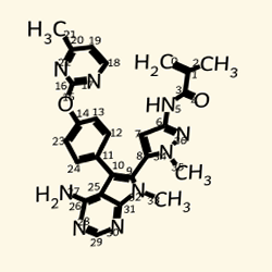 C=C(C)C(=O)Nc1cc(-c2c(-c3ccc(Oc4nccc(C)n4)cc3)c3c(N)ncnc3n2C)n(C)n1